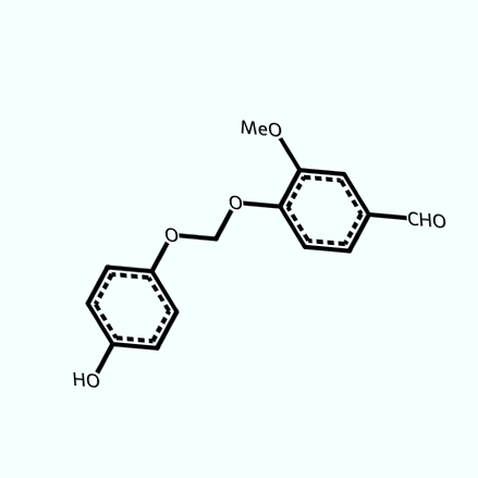 COc1cc(C=O)ccc1OCOc1ccc(O)cc1